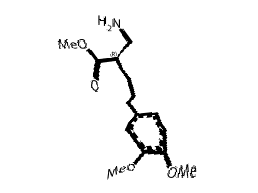 COC(=O)[C@@H](CN)CCc1ccc(OC)c(OC)c1